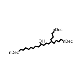 CCCCCCCCCCCCCCCCCCC(O)CCCC(CCCCCCCCCCCCCC)CCCCCCCCCCCCCC